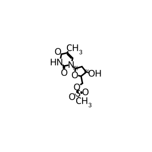 Cc1cn([C@H]2C[C@@H](O)C(COS(C)(=O)=O)O2)c(=O)[nH]c1=O